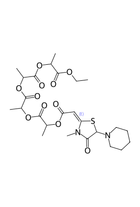 CCOC(=O)C(C)OC(=O)C(C)OC(=O)C(C)OC(=O)C(C)OC(=O)/C=C1/SC(N2CCCCC2)C(=O)N1C